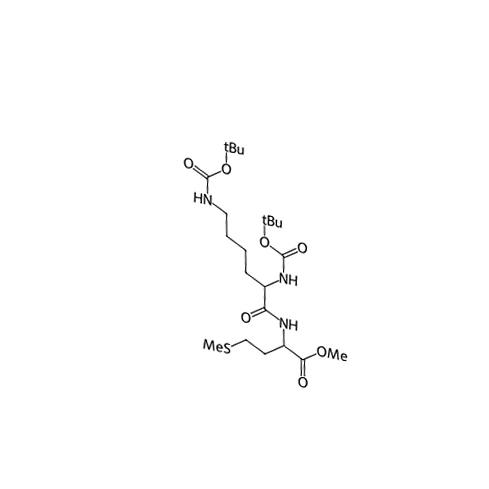 COC(=O)C(CCSC)NC(=O)C(CCCCNC(=O)OC(C)(C)C)NC(=O)OC(C)(C)C